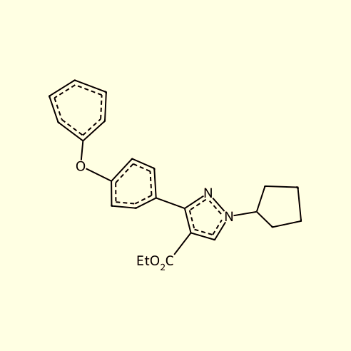 CCOC(=O)c1cn(C2CCCC2)nc1-c1ccc(Oc2ccccc2)cc1